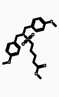 COC(=O)CCCCS(=O)(=O)N(Cc1ccc(OC)cc1)Cc1ccc(OC)cc1